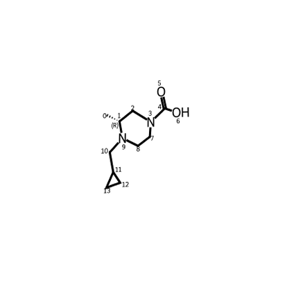 C[C@@H]1CN(C(=O)O)CCN1CC1CC1